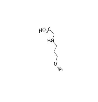 CC(C)OCCCNCC(=O)O